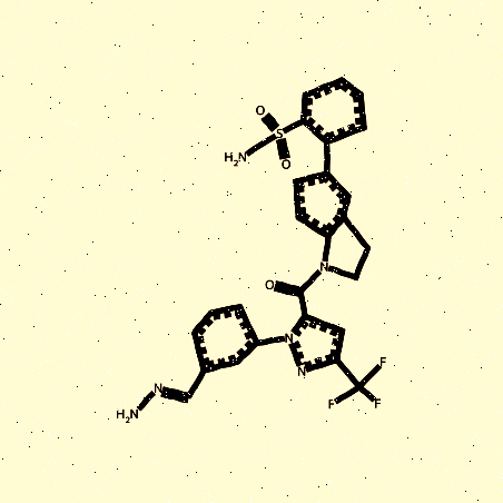 NN=Cc1cccc(-n2nc(C(F)(F)F)cc2C(=O)N2CCc3cc(-c4ccccc4S(N)(=O)=O)ccc32)c1